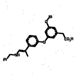 CCOc1cc(CC(=O)O)cc(Oc2cccc(/C(C)=C/NCC(C)C)c2)c1